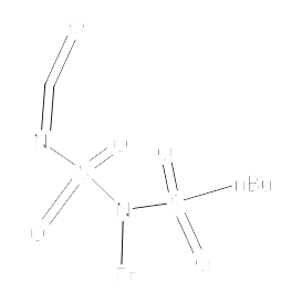 CCCCS(=O)(=O)N(CC)S(=O)(=O)N=C=O